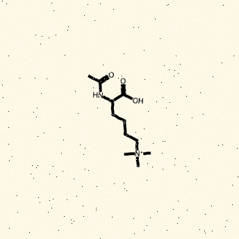 CC(=O)NC(CCCC[N+](C)(C)C)C(=O)O